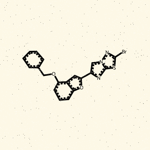 Brc1nn2cc(-c3cc4c(OCc5ccccc5)cccc4o3)nc2s1